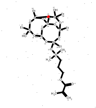 C=C(C)C(=O)OCCC[Si](C)(C)O[Si]1(CC)O[Si]2(CC)O[Si](O)(CC)O[Si]3(CC)O[Si](O)(CC)O[Si](CC)(O1)O[Si](CC)(O3)O2